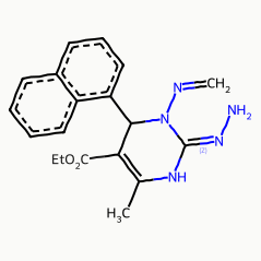 C=NN1/C(=N\N)NC(C)=C(C(=O)OCC)C1c1cccc2ccccc12